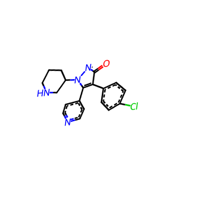 O=C1[N]N(C2CCCNC2)C(c2ccncc2)=C1c1ccc(Cl)cc1